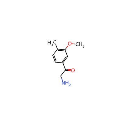 COc1cc(C(=O)CN)ccc1C